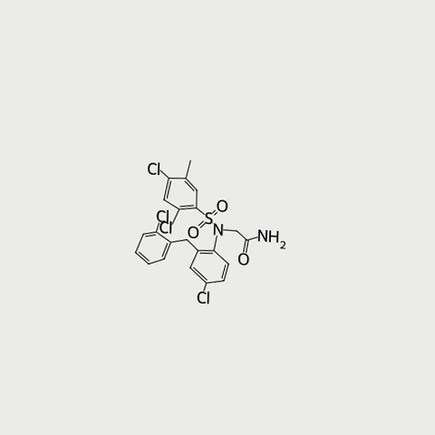 Cc1cc(S(=O)(=O)N(CC(N)=O)c2ccc(Cl)cc2Cc2ccccc2Cl)c(Cl)cc1Cl